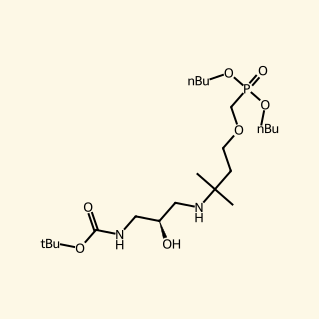 CCCCOP(=O)(COCCC(C)(C)NC[C@@H](O)CNC(=O)OC(C)(C)C)OCCCC